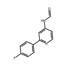 O=CNc1ccnc(-c2ccc(F)cc2)c1